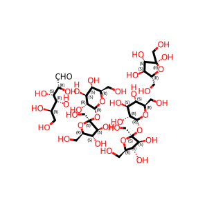 O=C[C@H](O)[C@@H](O)[C@H](O)[C@H](O)CO.OC[C@H]1O[C@@](CO)(O[C@H]2O[C@H](CO)[C@@H](O)[C@H](O)[C@H]2O)[C@@H](O)[C@@H]1O.OC[C@H]1O[C@@](CO)(O[C@H]2O[C@H](CO)[C@@H](O)[C@H](O)[C@H]2O)[C@@H](O)[C@@H]1O.OC[C@H]1O[C@](O)(CO)[C@@H](O)[C@@H]1O